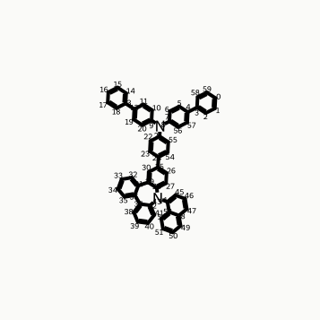 c1ccc(-c2ccc(N(c3ccc(-c4ccccc4)cc3)c3ccc(-c4ccc5c(c4)-c4ccccc4-c4ccccc4N5c4cccc5ccccc45)cc3)cc2)cc1